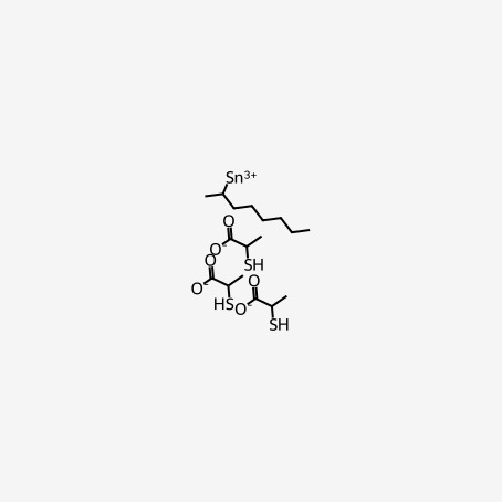 CC(S)C(=O)[O-].CC(S)C(=O)[O-].CC(S)C(=O)[O-].CCCCCC[CH](C)[Sn+3]